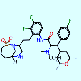 C[C@@H]1CC([C@H](c2ccc(F)cc2)[C@@H](C(=O)Nc2ccc(F)c(F)c2CC[C@H]2CN[C@@H]3CCCS(=O)(=O)N2C3)N(C)C(=O)O)C[C@H](C)O1